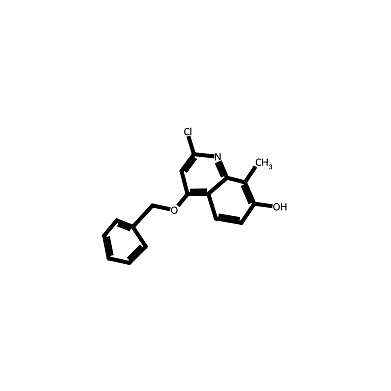 Cc1c(O)ccc2c(OCc3ccccc3)cc(Cl)nc12